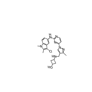 Cc1nn(-c2ccnc(Nc3ccc4c(c3)c(Cl)c(C)n4C)n2)cc1CNC1CC(O)C1